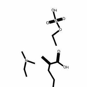 C=C(CCC)C(=O)O.CCN(C)C.CCOS(=O)(=O)O